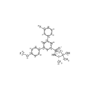 CC(C)(O)[C@@H](NC(=O)c1cc(-c2ccc(OC(F)(F)F)cc2)nc(-c2cccc(F)c2)n1)C(F)(F)F